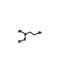 CC(C)CCN(SCl)C(C)C